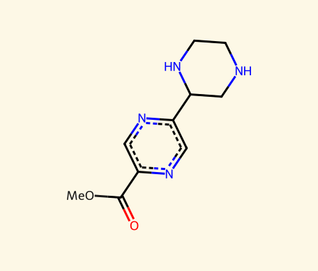 COC(=O)c1cnc(C2CNCCN2)cn1